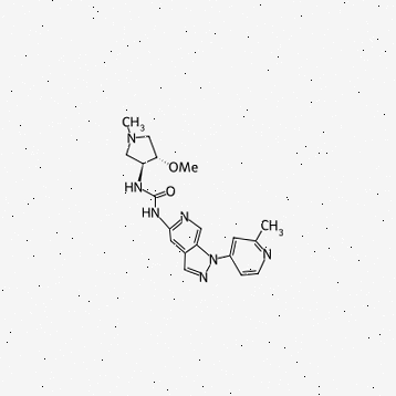 CO[C@H]1CN(C)C[C@@H]1NC(=O)Nc1cc2cnn(-c3ccnc(C)c3)c2cn1